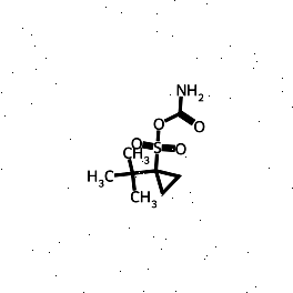 CC(C)(C)C1(S(=O)(=O)OC(N)=O)CC1